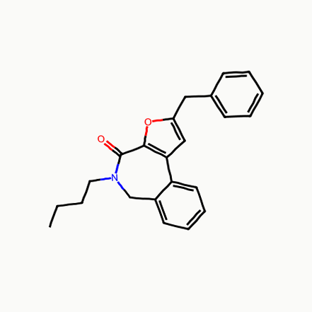 CCCCN1Cc2ccccc2-c2cc(Cc3ccccc3)oc2C1=O